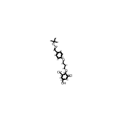 CC(C)(C)ON=Cc1ccc(OCCCOc2c(Cl)cc(O)cc2Cl)cc1